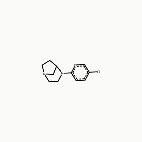 Clc1ccc(N2CCN3CCC2C3)nc1